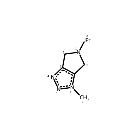 CC(C)N1Cc2nnn(C)c2C1